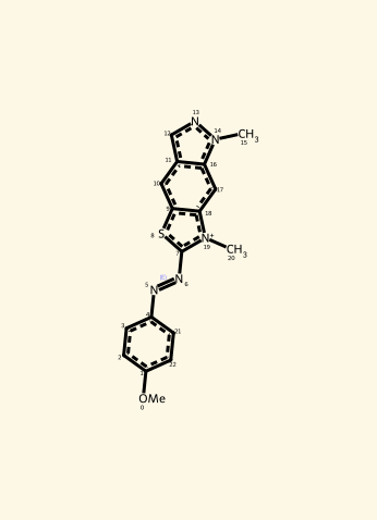 COc1ccc(/N=N/c2sc3cc4cnn(C)c4cc3[n+]2C)cc1